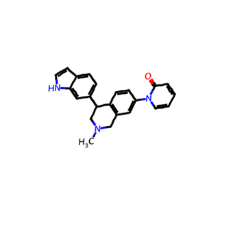 CN1Cc2cc(-n3ccccc3=O)ccc2C(c2ccc3cc[nH]c3c2)C1